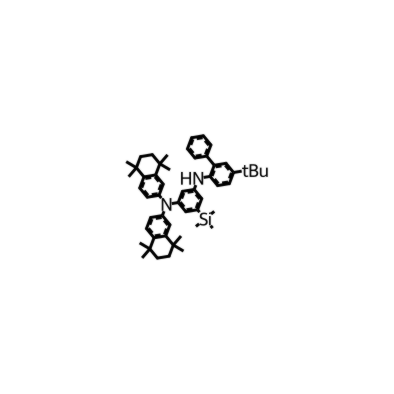 CC(C)(C)c1ccc(Nc2cc(N(c3ccc4c(c3)C(C)(C)CCC4(C)C)c3ccc4c(c3)C(C)(C)CCC4(C)C)cc([Si](C)(C)C)c2)c(-c2ccccc2)c1